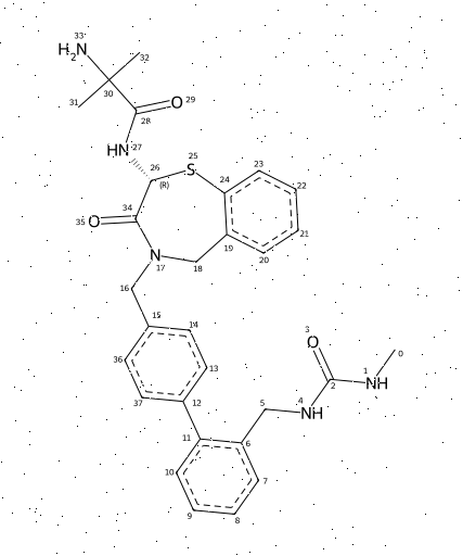 CNC(=O)NCc1ccccc1-c1ccc(CN2Cc3ccccc3S[C@@H](NC(=O)C(C)(C)N)C2=O)cc1